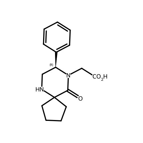 O=C(O)CN1C(=O)C2(CCCC2)NC[C@H]1c1ccccc1